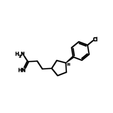 N=C(N)CCC1CC[C@H](c2ccc(Cl)cc2)C1